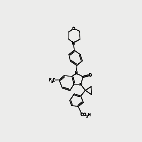 O=C(O)c1cccc(C2(n3c(=O)n(-c4ccc(N5CCOCC5)cc4)c4cc(C(F)(F)F)ccc43)CC2)c1